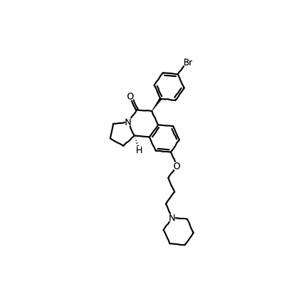 O=C1[C@@H](c2ccc(Br)cc2)c2ccc(OCCCN3CCCCC3)cc2[C@H]2CCCN12